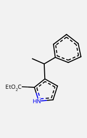 CCOC(=O)c1[nH]ccc1C(C)c1ccccc1